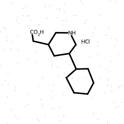 Cl.O=C(O)CC1CNCC(C2CCCCC2)C1